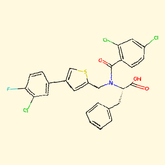 O=C(O)[C@H](Cc1ccccc1)N(Cc1cc(-c2ccc(F)c(Cl)c2)cs1)C(=O)c1ccc(Cl)cc1Cl